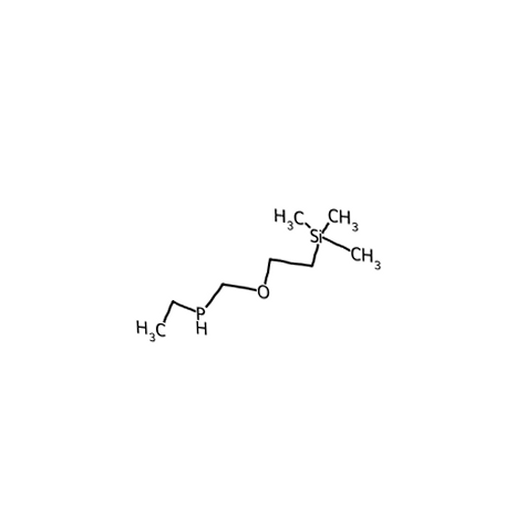 CCPCOCC[Si](C)(C)C